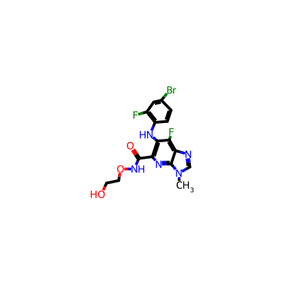 Cn1cnc2c(F)c(Nc3ccc(Br)cc3F)c(C(=O)NOCCO)nc21